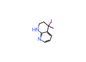 CC1(I)CCNc2ncccc21